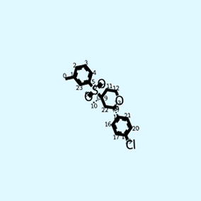 Cc1cccc(S(=O)(=O)[C@@]2(C)CCO[C@H](c3ccc(Cl)cc3)C2)c1